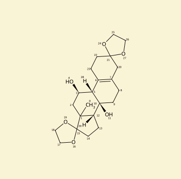 CC12C[C@@H](O)[C@@H]3C4=C(CC[C@]3(O)[C@@H]1CCC21OCCO1)CC1(CC4)OCCO1